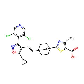 Cc1nc(C23CCC(C=Cc4c(-c5c(Cl)cncc5Cl)noc4C4CC4)(CC2)CC3)sc1C(=O)O